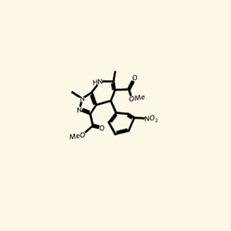 COC(=O)C1=C(C)Nc2c(c(C(=O)OC)nn2C)C1c1cccc([N+](=O)[O-])c1